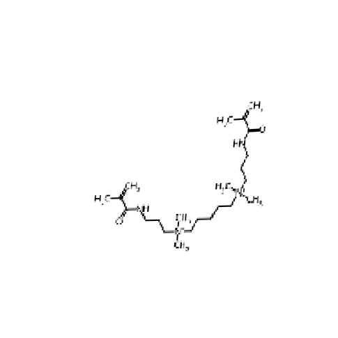 C=C(C)C(=O)NCCC[N+](C)(C)CCCCC[N+](C)(C)CCCNC(=O)C(=C)C